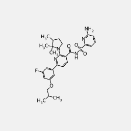 CC(C)COc1cc(F)cc(-c2ccc(C(=O)NS(=O)(=O)c3cccc(N)n3)c(N3CCC(C)C3(C)C)n2)c1